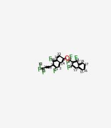 Fc1cc2cc(OC(F)(F)c3c(F)cc4ccccc4c3F)ccc2c(F)c1C#CC(F)(F)F